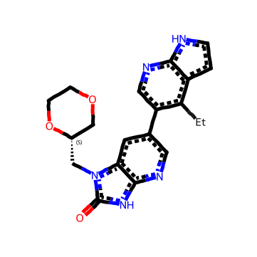 CCc1c(-c2cnc3[nH]c(=O)n(C[C@H]4COCCO4)c3c2)cnc2[nH]ccc12